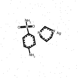 Nc1ccc(S(N)(=O)=O)cc1.[Ag].c1cncnc1